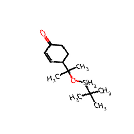 CC(C)(C)[SiH2]OC(C)(C)C1C=CC(=O)CC1